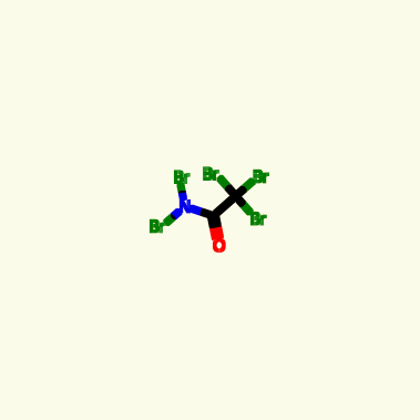 O=C(N(Br)Br)C(Br)(Br)Br